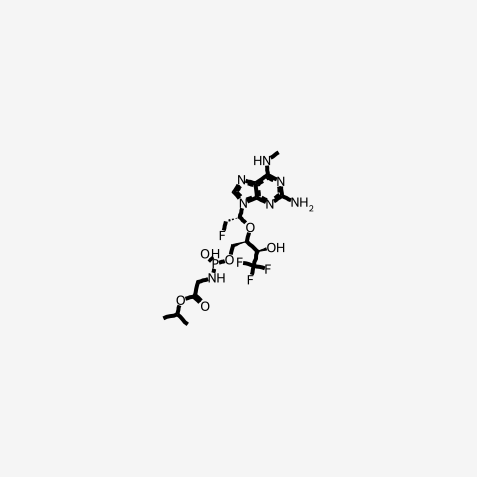 CNc1nc(N)nc2c1ncn2[C@@H](CF)O[C@H](CO[PH](=O)NCC(=O)OC(C)C)[C@@H](O)C(F)(F)F